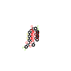 O=C1C(=CC2=Cc3sc4c(c3C2(C(=O)OCc2ccccc2)C(=O)OCc2ccccc2)C(C(=O)OCc2ccccc2)(C(=O)OCc2ccccc2)c2c-4sc3c2C(C(=O)OCc2ccccc2)(C(=O)OCc2ccccc2)C(C=C2C(=O)c4cc(F)c(F)cc4C2=O)=C3)C(=O)c2cc(F)c(F)cc21